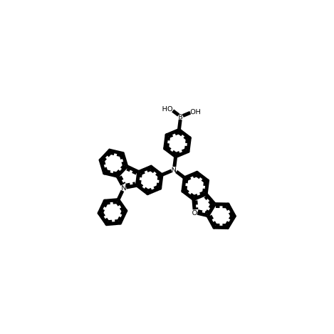 OB(O)c1ccc(N(c2ccc3c(c2)oc2ccccc23)c2ccc3c(c2)c2ccccc2n3-c2ccccc2)cc1